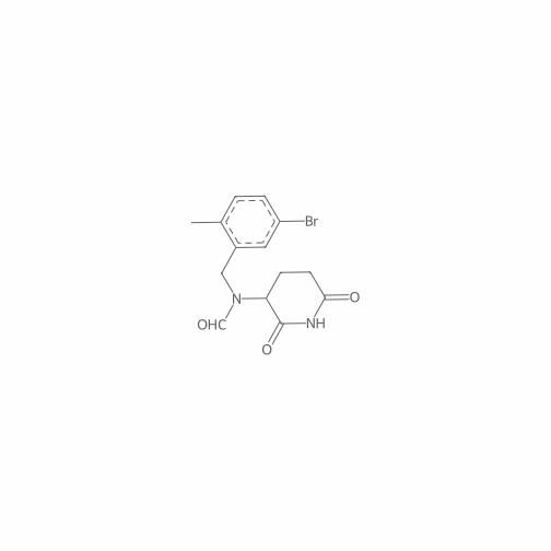 Cc1ccc(Br)cc1CN(C=O)C1CCC(=O)NC1=O